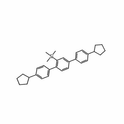 C[Si](C)(C)c1cc(-c2ccc(C3CCCC3)cc2)ccc1-c1ccc(C2CCCC2)cc1